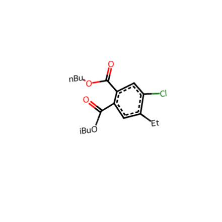 CCCCOC(=O)c1cc(Cl)c(CC)cc1C(=O)OCC(C)C